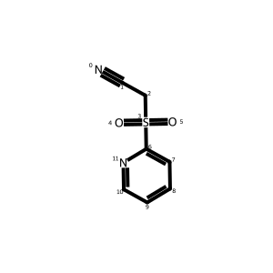 N#CCS(=O)(=O)c1ccccn1